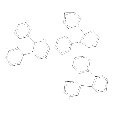 [Ir].c1ccc(-c2cccnc2-c2ccccc2)cc1.c1ccc(-c2cccnc2-c2ccccc2)cc1.c1ccc(-c2cccnc2-c2ccccc2)cc1